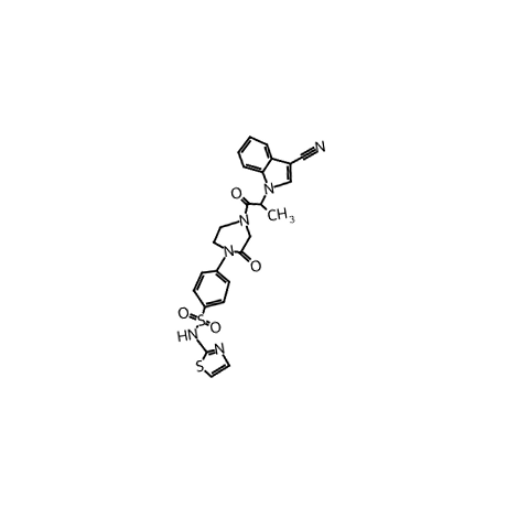 CC(C(=O)N1CCN(c2ccc(S(=O)(=O)Nc3nccs3)cc2)C(=O)C1)n1cc(C#N)c2ccccc21